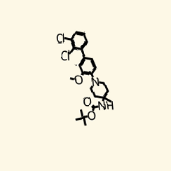 COc1[c]c(-c2cccc(Cl)c2Cl)ccc1N1CCC(C)(NC(=O)OC(C)(C)C)CC1